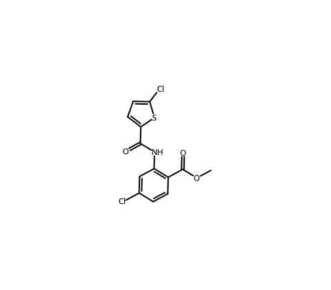 COC(=O)c1ccc(Cl)cc1NC(=O)c1ccc(Cl)s1